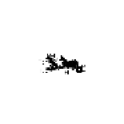 CCOC(=O)CN(CC=CC(=O)Nc1cc2c(Nc3ccc(F)c(Cl)c3)ncnc2cc1OCC1CC1)CCSC(=O)CC(C)C